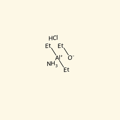 CC[O-].C[CH2][Al+][CH2]C.Cl.N